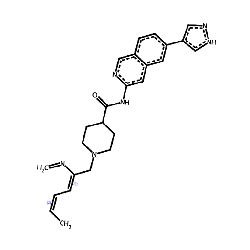 C=N/C(=C\C=C/C)CN1CCC(C(=O)Nc2cc3cc(-c4cn[nH]c4)ccc3cn2)CC1